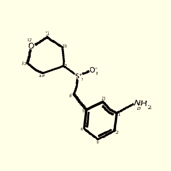 Nc1cccc(C[S+]([O-])C2CCOCC2)c1